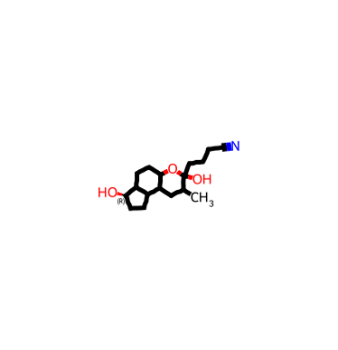 CC1CC2C(CCC3C2CC[C@H]3O)OC1(O)CCCC#N